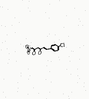 O=C(C=Cc1ccc(Cl)cc1)CC(=O)C[N+](=O)[O-]